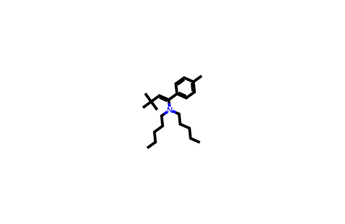 CCCCCN(CCCCC)C(=CC(C)(C)C)c1ccc(C)cc1